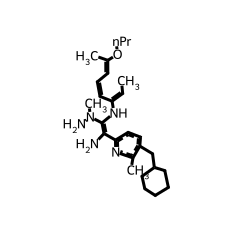 C\C=C(/C=C\C=C(/C)OCCC)N/C(=C(/N)c1ccc(CC2CCCCC2)c(C)n1)N(C)N